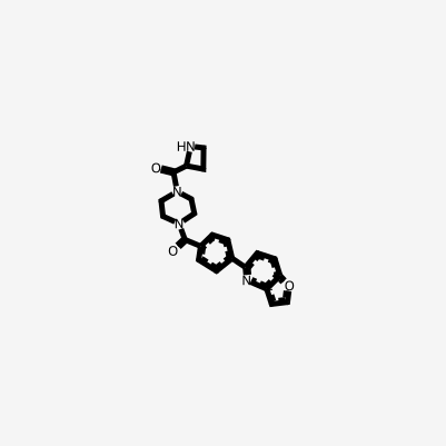 O=C(c1ccc(-c2ccc3occc3n2)cc1)N1CCN(C(=O)C2CCN2)CC1